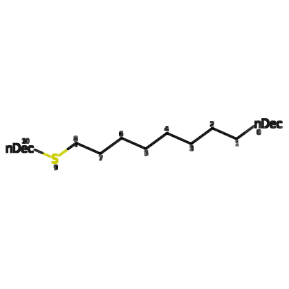 CCCCCCCCCCCCCCCCC[CH]SCCCCCCCCCC